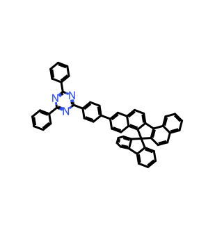 c1ccc(-c2nc(-c3ccccc3)nc(-c3ccc(-c4ccc5c6c(ccc5c4)-c4c(ccc5ccccc45)C64c5ccccc5-c5ccccc54)cc3)n2)cc1